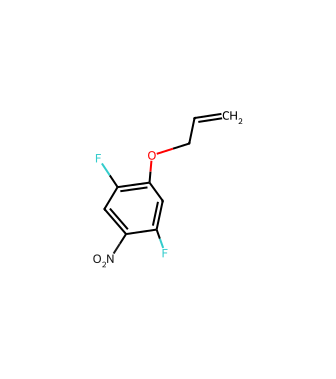 C=CCOc1cc(F)c([N+](=O)[O-])cc1F